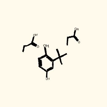 CC(C)(C)c1cc(O)ccc1O.CCC(=O)O.CCC(=O)O